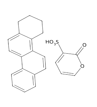 O=c1occcc1S(=O)(=O)O.c1ccc2c(c1)ccc1c3c(ccc12)CCCC3